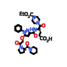 CCOC(=O)N1CCN(C(=O)[C@H](CCC(=O)O)NC(=O)c2cc(OCC(=O)N3CCC[C@H]3C(=O)N3CCCCC3)n(-c3ccccc3)n2)CC1